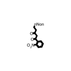 CCCCCCCCCCCC(=O)CC(=O)c1ccccc1[N+](=O)[O-]